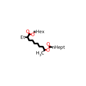 CCCCCCCC(=O)OC(C)CCCCCCC(CC)C(=O)OCCCCCC